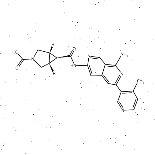 CC(=O)N1C[C@@H]2[C@H](C1)[C@H]2C(=O)Nc1cc2cc(-c3cnccc3C)nc(N)c2cn1